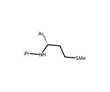 CSCC[C@H](NC(C)C)C(C)=O